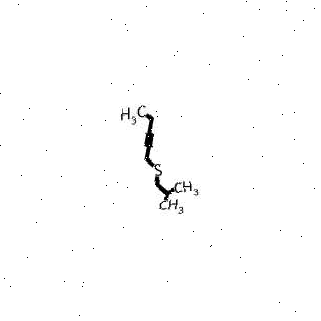 CCC#CCSCC(C)C